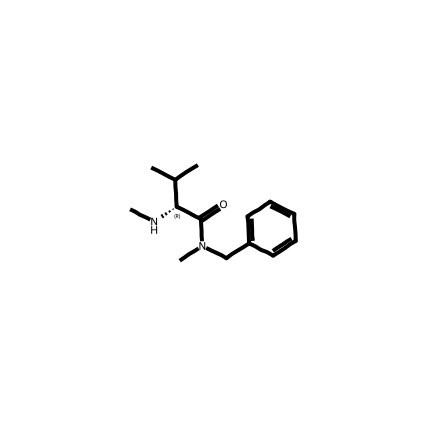 CN[C@@H](C(=O)N(C)Cc1ccccc1)C(C)C